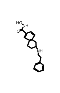 O=C(NO)c1ccc2c(c1)CCC(NCCc1ccccc1)C2